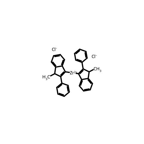 CC1C(c2ccccc2)=[C]([Zr+2][C]2=C(c3ccccc3)C(C)c3ccccc32)c2ccccc21.[Cl-].[Cl-]